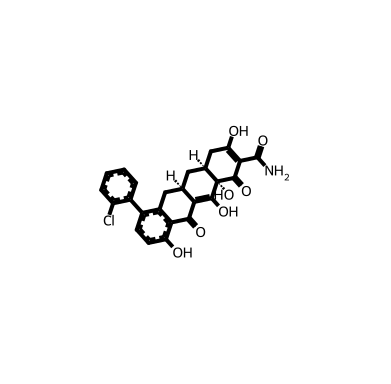 NC(=O)C1=C(O)C[C@@H]2C[C@@H]3Cc4c(-c5ccccc5Cl)ccc(O)c4C(=O)C3=C(O)[C@]2(O)C1=O